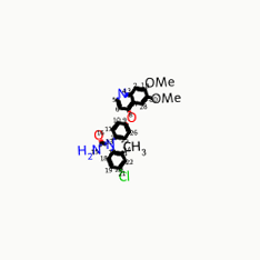 COc1cc2nccc(Oc3ccc(N(C(N)=O)c4ccc(Cl)cc4C)cc3)c2cc1OC